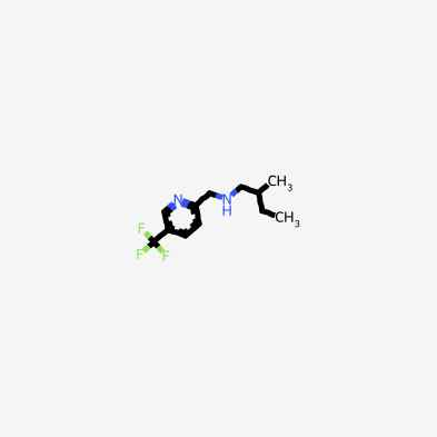 CCC(C)CNCc1ccc(C(F)(F)F)cn1